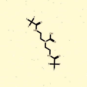 O=C(O)N(CCNC(=O)C(F)(F)F)CCNC(=O)C(F)(F)F